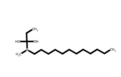 CCCCCCCCCCCCN(C)C(O)(O)CC